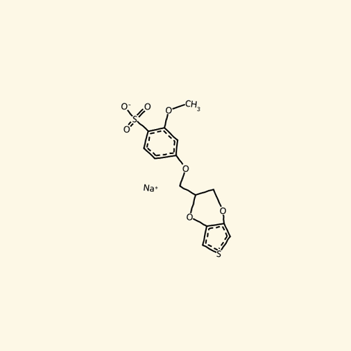 COc1cc(OCC2COc3cscc3O2)ccc1S(=O)(=O)[O-].[Na+]